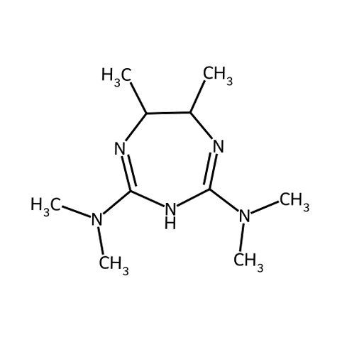 CC1N=C(N(C)C)NC(N(C)C)=NC1C